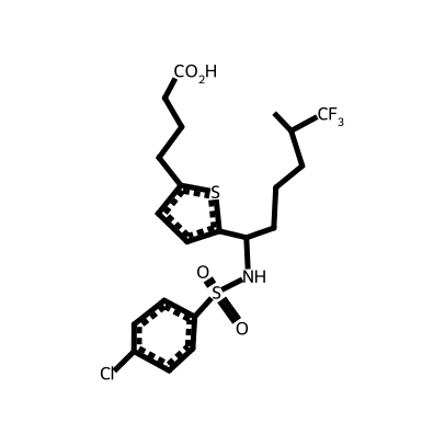 CC(CCCC(NS(=O)(=O)c1ccc(Cl)cc1)c1ccc(CCCC(=O)O)s1)C(F)(F)F